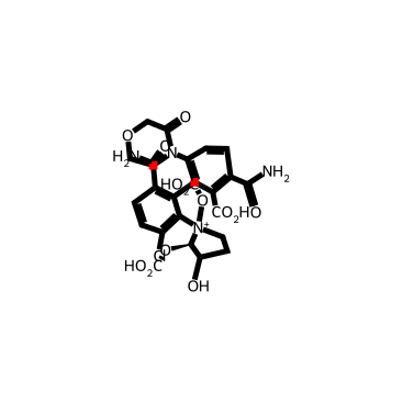 NC(=O)c1ccc(N2CCOCC2=O)c(-c2c(C(N)=O)ccc(Cl)c2[N+]2(OC(=O)O)CCC(O)[C@H]2OC(=O)O)c1C(=O)O